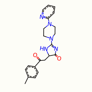 Cc1ccc(C(=O)CC2NC(N3CCN(c4ccccn4)CC3)=NC2=O)cc1